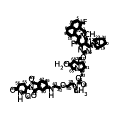 C#Cc1c(F)ccc2cccc(-c3ncc4c(N5CC6CCC(C5)N6)nc(OC[C@@]56CC[C@@H](COC(=O)N(C)CCOCCNc7ccc8c(c7)C(=O)N(C7CCC(=O)NC7=O)C8=O)N5CC(=C)C6)nc4c3F)c12